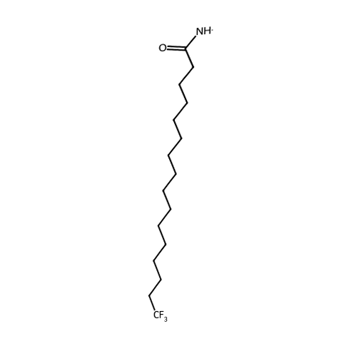 [NH]C(=O)CCCCCCCCCCCCCCC(F)(F)F